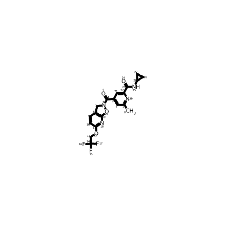 Cc1cc(C(=O)N2Cc3ccc(OCC(F)(F)F)nc3O2)cc(C(=O)NC2CC2)n1